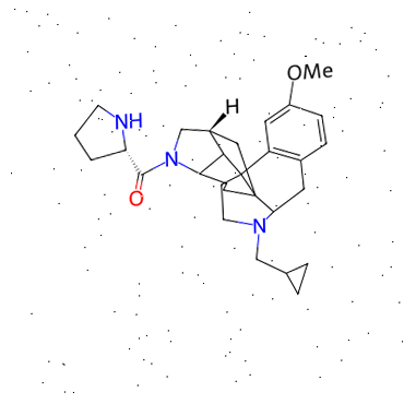 COc1ccc2c(c1)C13CCN(CC4CC4)C(C2)C12CCC1C3[C@H](CN1C(=O)[C@@H]1CCCN1)C2